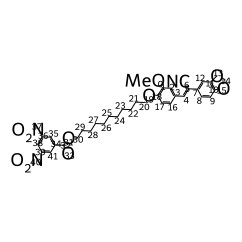 COc1cc(C=C(C#N)c2ccc3c(c2)OCO3)ccc1OCCCCCCCCCCCOC(=O)c1cc([N+](=O)[O-])cc([N+](=O)[O-])c1